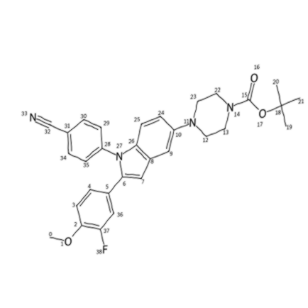 COc1ccc(-c2cc3cc(N4CCN(C(=O)OC(C)(C)C)CC4)ccc3n2-c2ccc(C#N)cc2)cc1F